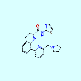 O=C(Nc1nccs1)c1ccc2cccc(-c3cccc(CN4CCCC4)n3)c2n1